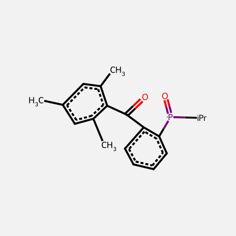 Cc1cc(C)c(C(=O)c2ccccc2[P](=O)C(C)C)c(C)c1